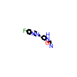 N#CCC(=O)N[C@H]1CC[C@H](CCN2CCN(c3ccc(F)cc3)CC2)CC1